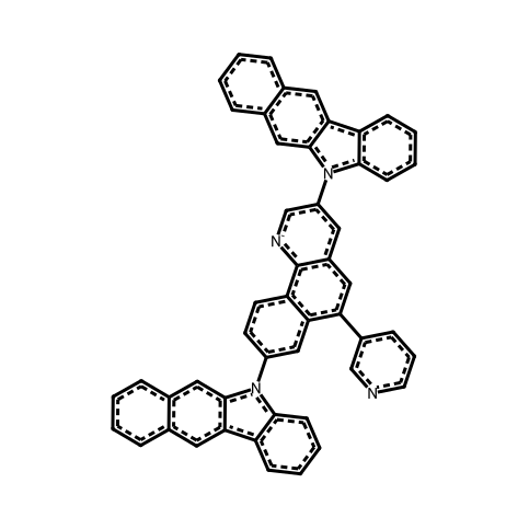 c1cncc(-c2cc3cc(-n4c5ccccc5c5cc6ccccc6cc54)cnc3c3ccc(-n4c5ccccc5c5cc6ccccc6cc54)cc23)c1